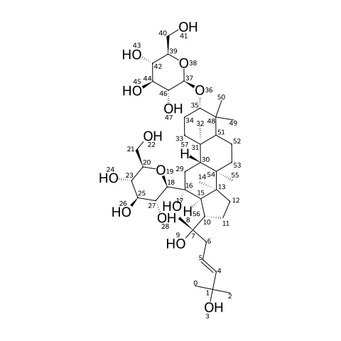 CC(C)(O)C=CC[C@](C)(O)[C@H]1CC[C@@]2(C)[C@@H]1[C@@](O)([C@@H]1O[C@H](CO)[C@@H](O)[C@H](O)[C@H]1O)C[C@@H]1[C@@]3(C)CC[C@H](O[C@@H]4O[C@H](CO)[C@@H](O)[C@H](O)[C@H]4O)C(C)(C)C3CC[C@]12C